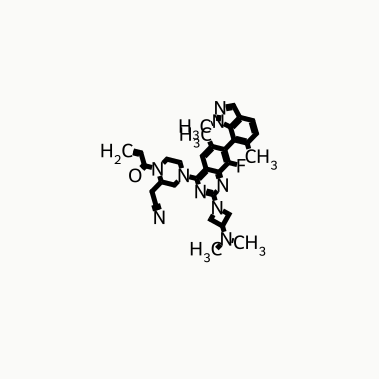 C=CC(=O)N1CCN(c2nc(N3CC(N(C)C)C3)nc3c(F)c(-c4c(C)ccc5cnn(C)c45)c(C)cc23)CC1CC#N